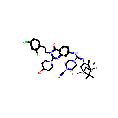 C[C@@H]1C(/N=C(/Nc2ccc3c(=O)n(CCc4ccc(Cl)cc4Cl)c(N4CCC(O)CC4)nc3c2)N2C[C@@H](C)N(C#N)[C@@H](C)C2)C[C@@H]2C[C@H]1C2(C)C